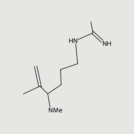 C=C(C)C(CCCNC(C)=N)NC